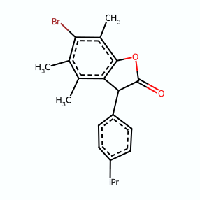 Cc1c(C)c2c(c(C)c1Br)OC(=O)C2c1ccc(C(C)C)cc1